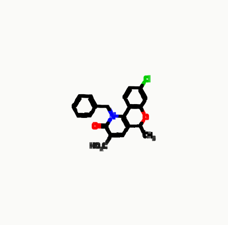 CC1Oc2cc(Cl)ccc2-c2c1cc(C(=O)O)c(=O)n2Cc1ccccc1